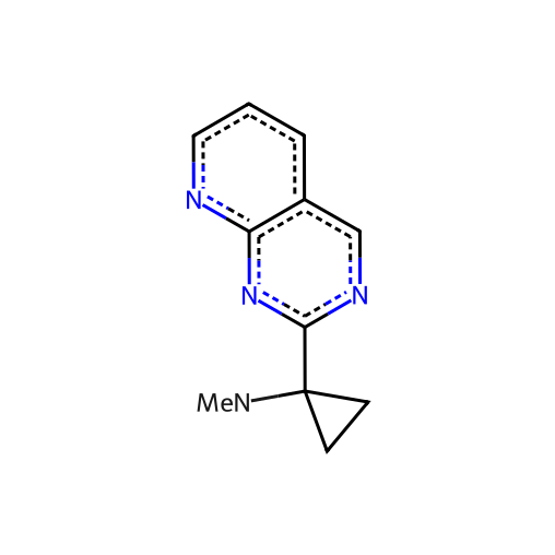 CNC1(c2ncc3cccnc3n2)CC1